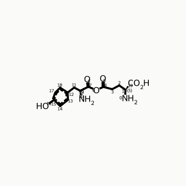 N[C@@H](CCC(=O)OC(=O)[C@@H](N)Cc1ccc(O)cc1)C(=O)O